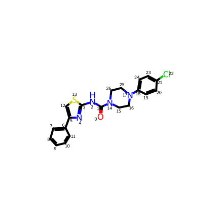 O=C(Nc1nc(-c2ccccc2)cs1)N1CCN(c2ccc(Cl)cc2)CC1